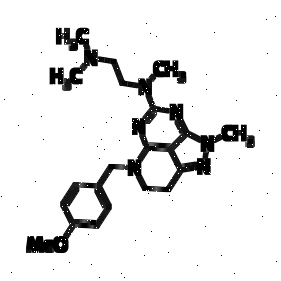 COc1ccc(CN2CCc3nn(C)c4nc(N(C)CCN(C)C)nc2c34)cc1